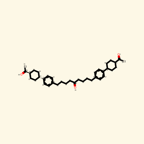 CCC(=O)C1CCC(c2ccc(CCCCC(=O)CCCCc3ccc([C@H]4CC[C@H](C(=O)CC)CC4)cc3)cc2)CC1